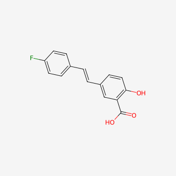 O=C(O)c1cc(C=Cc2ccc(F)cc2)ccc1O